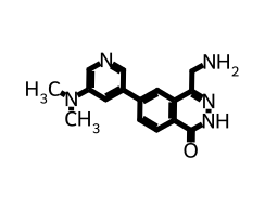 CN(C)c1cncc(-c2ccc3c(=O)[nH]nc(CN)c3c2)c1